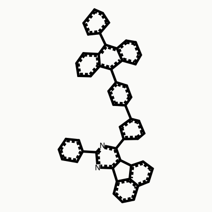 c1ccc(-c2nc(-c3cccc(-c4ccc(-c5c6ccccc6c(-c6ccccc6)c6ccccc56)cc4)c3)c3c(n2)-c2cccc4cccc-3c24)cc1